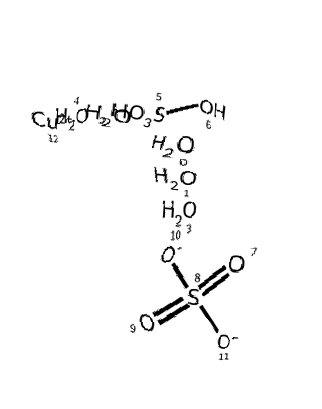 O.O.O.O.O.O=S(=O)(O)O.O=S(=O)([O-])[O-].[Cu+2]